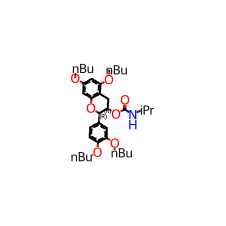 CCCCOc1cc(OCCCC)c2c(c1)O[C@H](c1ccc(OCCCC)c(OCCCC)c1)[C@H](OC(=O)NC(C)C)C2